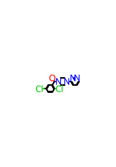 O=C(c1cc(Cl)ccc1Cl)N1CCN(c2cccnn2)CC1